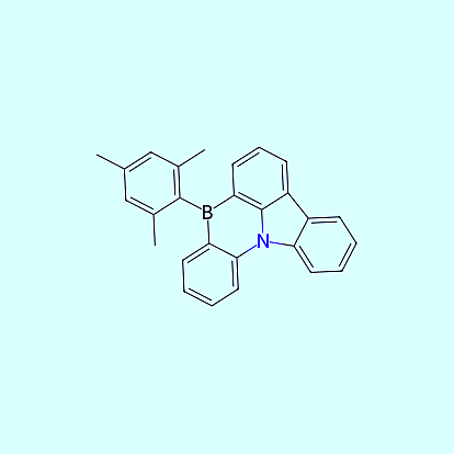 Cc1cc(C)c(B2c3ccccc3-n3c4ccccc4c4cccc2c43)c(C)c1